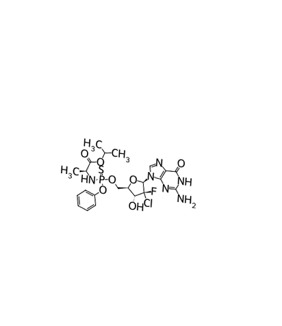 CC(C)OC(=O)[C@H](C)N[P@](=S)(OC[C@H]1O[C@@H](n2cnc3c(=O)[nH]c(N)nc32)[C@](F)(Cl)[C@@H]1O)Oc1ccccc1